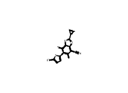 Cc1c(-c2ccc(Cl)s2)c(F)c2oc(C3CC3)nc2c1C#N